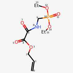 C=CCOC(=O)C(=O)NCP(=O)(OCC)OCC